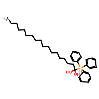 CCCCCCCCCCCCCCCCCC(O)(O)[PH](c1ccccc1)(c1ccccc1)c1ccccc1